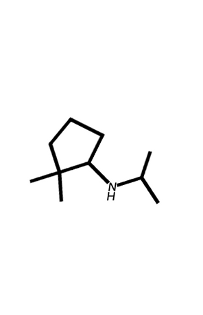 CC(C)NC1CCCC1(C)C